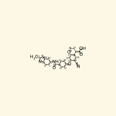 Cc1nc2ccc(NC(=O)c3ccc(Oc4cc5c(cc4C#N)C(C(=O)O)CCO5)cc3)cc2s1